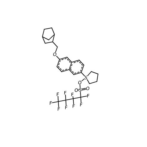 O=S(=O)(OS1(c2ccc3cc(OCC4CC5CCC4C5)ccc3c2)CCCC1)C(F)(F)C(F)(F)C(F)(F)C(F)(F)F